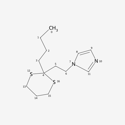 CCCCC1(CCn2ccnc2)SCCCS1